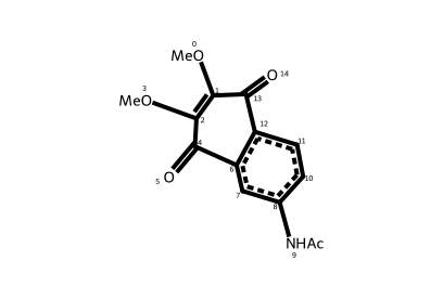 COC1=C(OC)C(=O)c2cc(NC(C)=O)ccc2C1=O